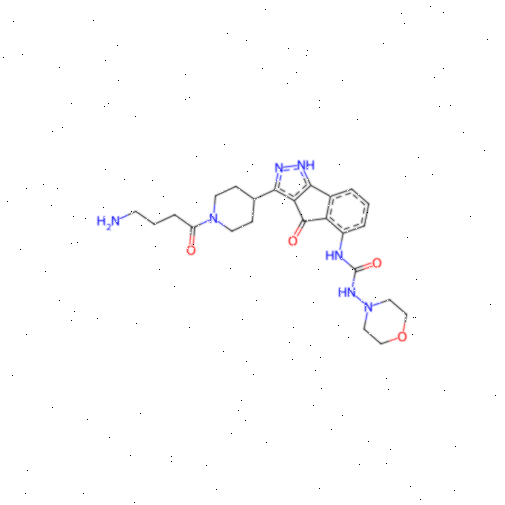 NCCCC(=O)N1CCC(c2n[nH]c3c2C(=O)c2c(NC(=O)NN4CCOCC4)cccc2-3)CC1